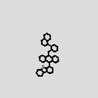 c1ccc(-c2cccc3ccccc23)c(Cc2c3ccccc3c(-c3cccc4c3sc3ccccc34)c3ccccc23)c1